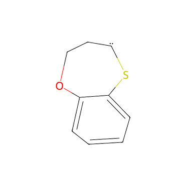 [C]1CCOc2ccccc2S1